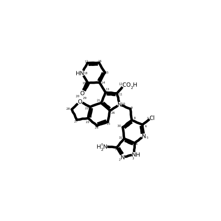 Nc1n[nH]c2nc(Cl)c(Cn3c(C(=O)O)c(-c4ccc[nH]c4=O)c4c5c(ccc43)CCO5)cc12